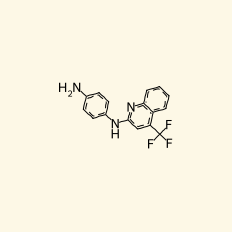 Nc1ccc(Nc2cc(C(F)(F)F)c3ccccc3n2)cc1